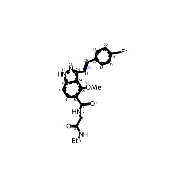 CCNC(=O)CNC(=O)c1ccc2[nH]nc(/C=C/c3ccc(F)cc3)c2c1OC